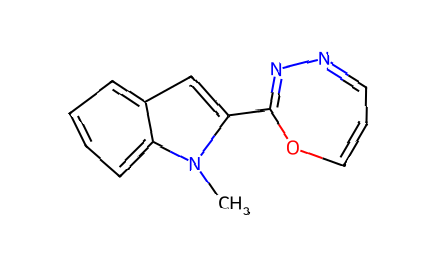 Cn1c(C2=NN=CC=CO2)cc2ccccc21